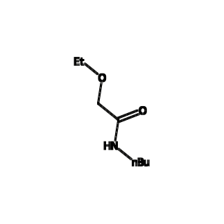 CCCCNC(=O)COCC